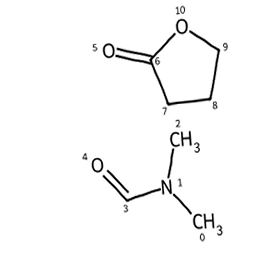 CN(C)C=O.O=C1CCCO1